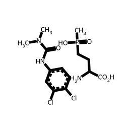 CN(C)C(=O)Nc1ccc(Cl)c(Cl)c1.CP(=O)(O)CCC(N)C(=O)O